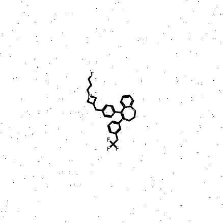 FCCCN1CC(Cc2ccc(C3=C(c4cccc(CC(F)(F)F)c4)CCCc4ccccc43)cc2)C1